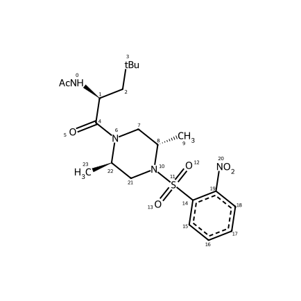 CC(=O)N[C@@H](CC(C)(C)C)C(=O)N1C[C@H](C)N(S(=O)(=O)c2ccccc2[N+](=O)[O-])C[C@H]1C